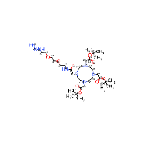 CC(C)(C)OC(=O)CN1CCN(CC(=O)NCCOCCOCCNN=N)CCN(CC(=O)OC(C)(C)C)CCN(CC(=O)OC(C)(C)C)CC1